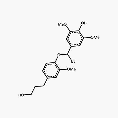 CCC(Oc1ccc(CCCO)cc1OC)c1cc(OC)c(O)c(OC)c1